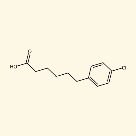 O=C(O)CCSCCc1ccc(Cl)cc1